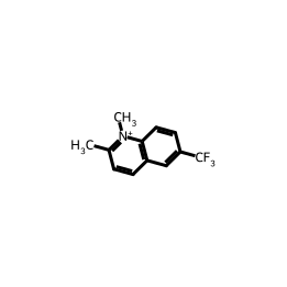 Cc1ccc2cc(C(F)(F)F)ccc2[n+]1C